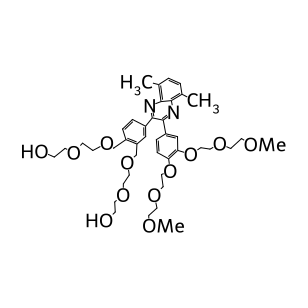 COCCOCCOc1ccc(-c2nc3c(C)ccc(C)c3nc2-c2ccc(COCCOCCO)c(COCCOCCO)c2)cc1OCCOCCOC